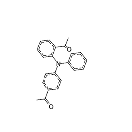 CC(=O)c1ccc(N(c2ccccc2)c2ccccc2C(C)=O)cc1